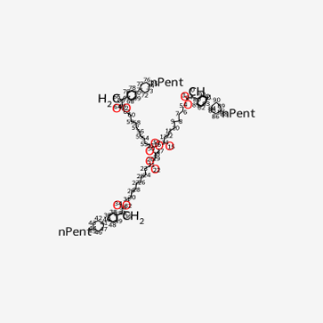 C=C(C(=O)OCCCCCCCCCC(=O)OCC(COC(=O)CCCCCCCCCOC(=O)C(=C)c1ccc([C@H]2CC[C@H](CCCCC)CC2)cc1)OC(=O)CCCCCCCCCOC(=O)C(=C)c1ccc([C@H]2CC[C@H](CCCCC)CC2)cc1)c1ccc([C@H]2CC[C@H](CCCCC)CC2)cc1